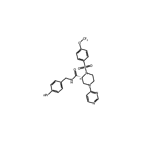 CCCc1ccc(CNC(=O)[C@H]2CN(c3ccncn3)CCN2S(=O)(=O)c2ccc(OC(F)(F)F)cc2)cc1